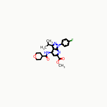 COC(=O)c1cc(NC(=O)C2CCOCC2)c2c(C(C)C)nn(-c3ccc(F)cc3)c2n1